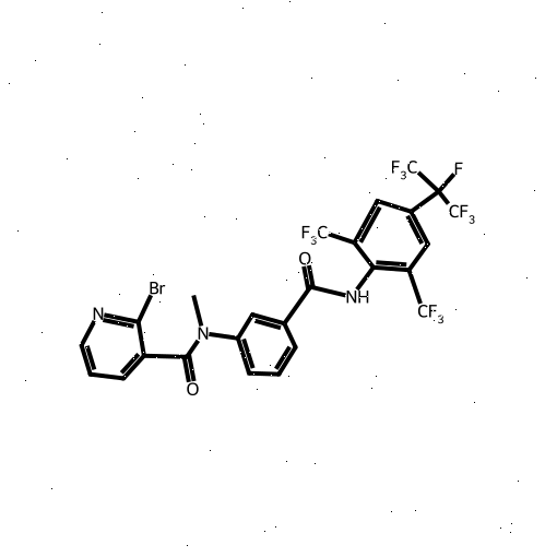 CN(C(=O)c1cccnc1Br)c1cccc(C(=O)Nc2c(C(F)(F)F)cc(C(F)(C(F)(F)F)C(F)(F)F)cc2C(F)(F)F)c1